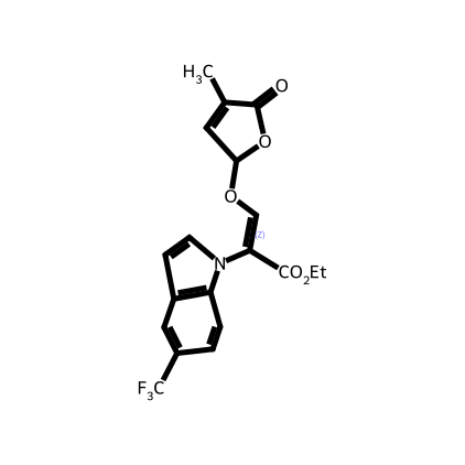 CCOC(=O)/C(=C/OC1C=C(C)C(=O)O1)n1ccc2cc(C(F)(F)F)ccc21